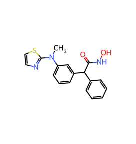 CN(c1cccc(C(C(=O)NO)c2ccccc2)c1)c1nccs1